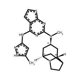 Cc1cc(Nc2nc(N(C)[C@@H]3C[C@H]4CC5CCN4[C@@H]5C3)nc3sccc23)n[nH]1